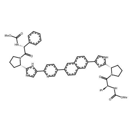 COC(=O)N[C@H](C(=O)N1CCC[C@H]1c1nc(-c2ccc3cc(-c4ccc(-c5cnc([C@@H]6CCCN6C(=O)[C@H](NC(=O)OC)c6ccccc6)[nH]5)nc4)ccc3c2)c[nH]1)C(C)C